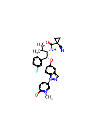 CC(C)[C@H](NC(=O)C1(C#N)CC1)[C@H](Oc1ccc2c(cnn2-c2ccc(=O)n(C)c2)c1)c1cccc(F)c1